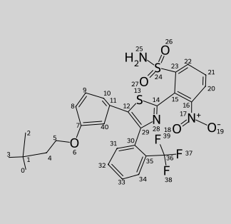 CC(C)(C)CCOc1cccc(-c2sc(-c3c([N+](=O)[O-])cccc3S(N)(=O)=O)nc2-c2ccccc2C(F)(F)F)c1